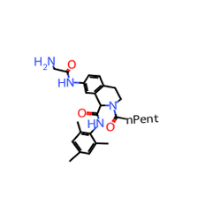 CCCCCC(=O)N1CCc2ccc(NC(=O)CN)cc2C1C(=O)Nc1c(C)cc(C)cc1C